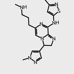 CNCCCC1=CN2C(=NCC2c2cnn(C)c2)C(Nc2cc(C)ns2)=N1